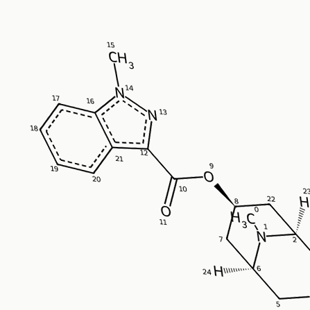 CN1[C@@H]2CSC[C@H]1C[C@@H](OC(=O)c1nn(C)c3ccccc13)C2